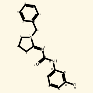 O=C(N=C1CCCN1Cc1ccccc1)Nc1cccc(Cl)c1